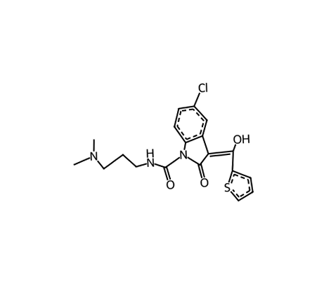 CN(C)CCCNC(=O)N1C(=O)C(=C(O)c2cccs2)c2cc(Cl)ccc21